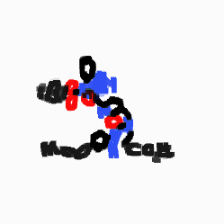 CCOC(=O)CCN(Cc1ccc(C(=O)Nc2ccccc2NC(=O)OC(C)(C)C)nc1)C(=O)Nc1ccc(OC)cc1